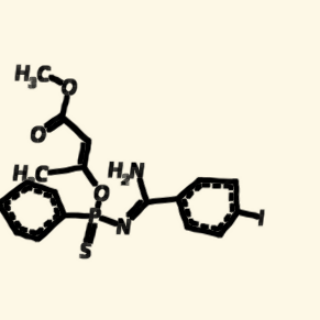 COC(=O)C=C(C)OP(=S)(N=C(N)c1ccc(I)cc1)c1ccccc1